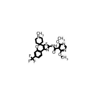 COc1ncnc(OC)c1C(=O)Nc1nc2c(s1)C1(CCN(C)CC1)Oc1cc(C(F)(F)F)ccc1-2